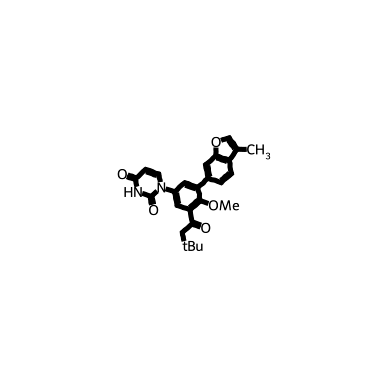 COc1c(C(=O)CC(C)(C)C)cc(-n2ccc(=O)[nH]c2=O)cc1-c1ccc2c(C)coc2c1